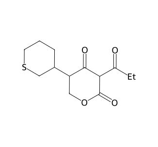 CCC(=O)C1C(=O)OCC(C2CCCSC2)C1=O